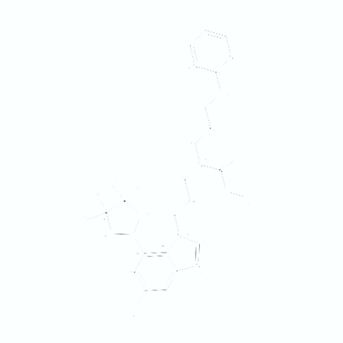 CC(C)(C)OC(=O)N(CCCOc1ncccn1)CCCn1cnc2cc(F)cc(B3OC(C)(C)C(C)(C)O3)c21